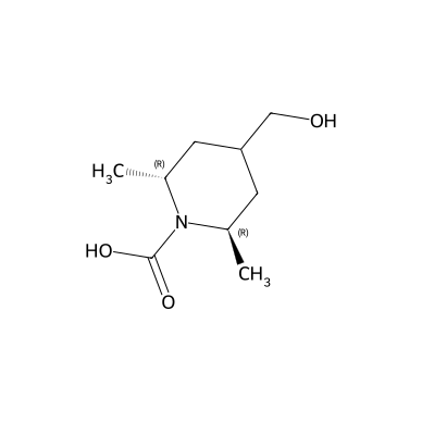 C[C@@H]1CC(CO)C[C@@H](C)N1C(=O)O